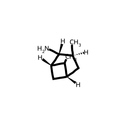 CC1[C@@H]2C[C@H](C)[C@@H](N)[C@H]1C2